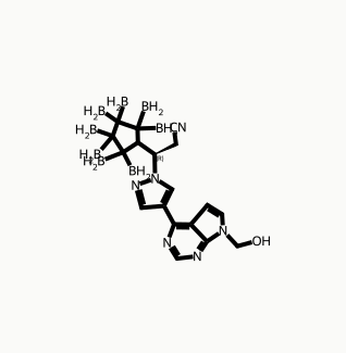 BC1(B)C([C@@H](CC#N)n2cc(-c3ncnc4c3ccn4CO)cn2)C(B)(B)C(B)(B)C1(B)B